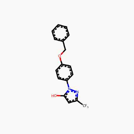 Oc1cc(C(F)(F)F)nn1-c1ccc(OCc2ccccc2)cc1